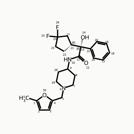 Cc1ccc(CN2CCC(NC(=O)[C@](O)(c3ccccc3)[C@@H]3CCC(F)(F)C3)CC2)o1